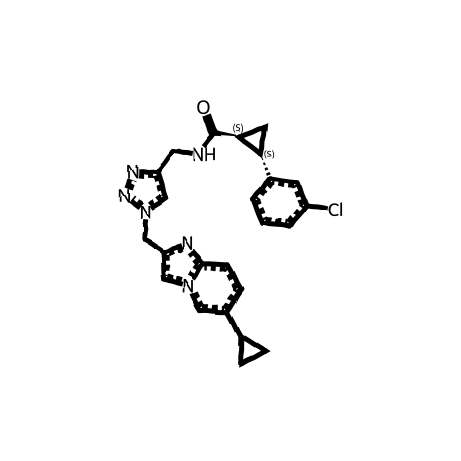 O=C(NCc1cn(Cc2cn3cc(C4CC4)ccc3n2)nn1)[C@H]1C[C@@H]1c1cccc(Cl)c1